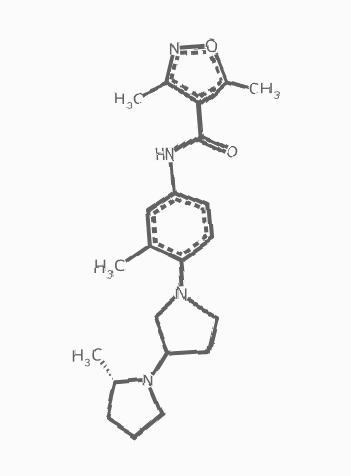 Cc1cc(NC(=O)c2c(C)noc2C)ccc1N1CCC(N2CCC[C@@H]2C)C1